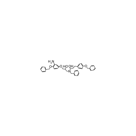 Nc1cc(OCC(O)CN(Cc2ccccc2)[C@@H](O)CCc2ccc(OCc3ccccc3)cc2)ccc1OCc1ccccc1